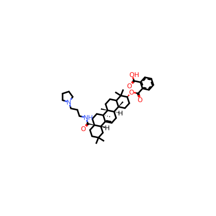 CC1(C)CC[C@]2(C(=O)NCCCN3CCCC3)CC[C@]3(C)C(=CC[C@@H]4[C@@]5(C)CC[C@H](OC(=O)c6ccccc6C(=O)O)C(C)(C)C5CC[C@]43C)[C@@H]2C1